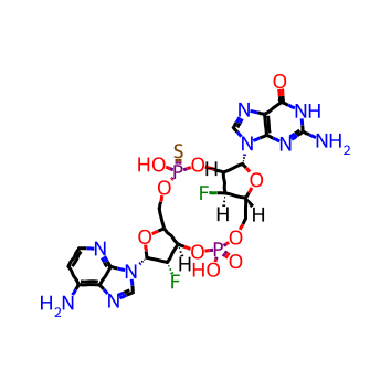 Nc1nc2c(ncn2[C@@H]2O[C@@H]3COP(=O)(O)O[C@@H]4C(COP(O)(=S)O[C@@H]2[C@@H]3F)O[C@@H](n2cnc3c(N)ccnc32)[C@H]4F)c(=O)[nH]1